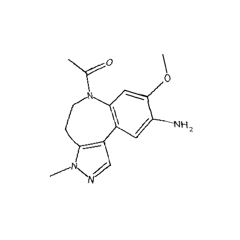 COc1cc2c(cc1N)-c1cnn(C)c1CCN2C(C)=O